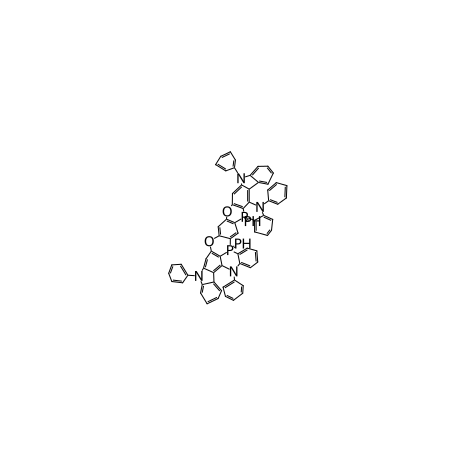 P=P12c3cc4c(cc3Oc3cc5c(c(c31)N(c1ccccc1)c1ccccc12)c1ccccc1n5-c1ccccc1)Oc1cc2c(c3c1P4(=P)c1ccccc1N3c1ccccc1)c1ccccc1n2-c1ccccc1